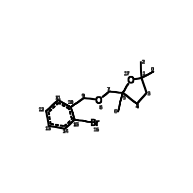 CC1(C)CCC(C)(COCc2ccccc2Br)O1